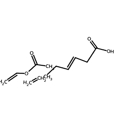 C=C.C=COC(C)=O.CCC=CCC(=O)O